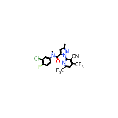 Cc1cc(C(=O)N(C)c2ccc(F)c(Cl)c2)n(-c2nc(C(F)(F)F)cc(C(F)(F)F)c2C#N)n1